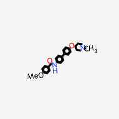 COc1ccc(C(=O)Nc2ccc(-c3ccc(OC4CCN(C)CC4)cc3)cc2)cc1